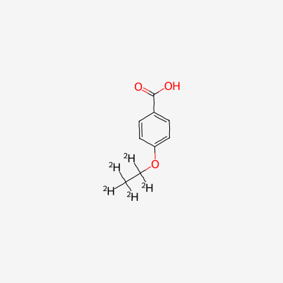 [2H]C([2H])([2H])C([2H])([2H])Oc1ccc(C(=O)O)cc1